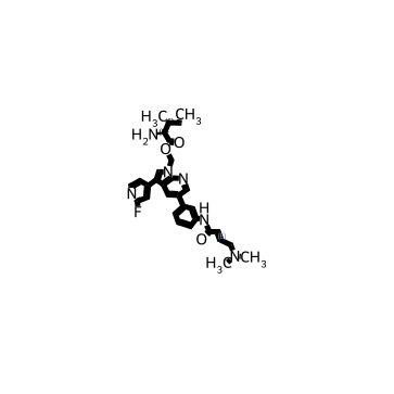 CC[C@H](C)[C@H](N)C(=O)OCn1cc(-c2ccnc(F)c2)c2cc(-c3cccc(NC(=O)/C=C/CN(C)C)c3)cnc21